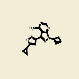 Nc1ncnc2c1c(-c1cc(C3CC3)on1)nn2C12CC(C1)C2